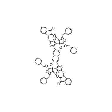 O=C1C(=O)c2ccccc2/C1=C/c1nc2c(s1)C1=CC3C=C4OC(C(=O)OCc5ccccc5)(C(=O)OCc5ccccc5)c5nc(/C=C6\C(=O)C(=O)c7ccccc76)sc5C4=CC3C=C1OC2(C(=O)OCc1ccccc1)C(=O)OCc1ccccc1